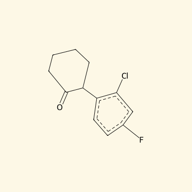 O=C1CCCCC1c1ccc(F)cc1Cl